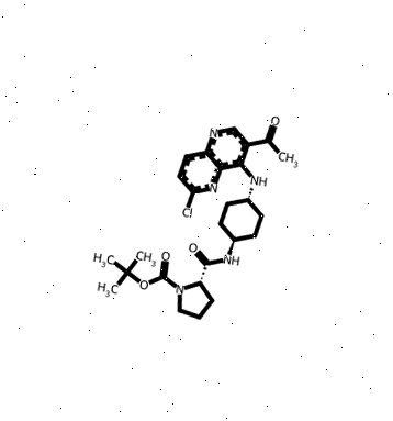 CC(=O)c1cnc2ccc(Cl)nc2c1N[C@H]1CC[C@H](NC(=O)[C@@H]2CCCN2C(=O)OC(C)(C)C)CC1